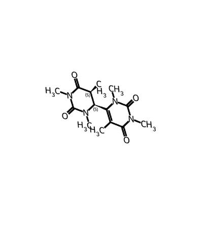 Cc1c([C@@H]2[C@H](C)C(=O)N(C)C(=O)N2C)n(C)c(=O)n(C)c1=O